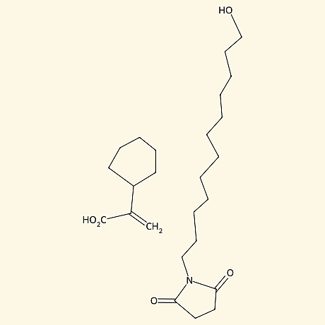 C=C(C(=O)O)C1CCCCC1.O=C1CCC(=O)N1CCCCCCCCCCCCO